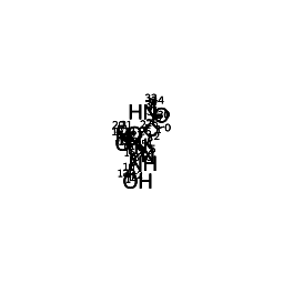 Cc1cc(-c2cnc3c(NCC(C)(C)O)cc(ON4CCCC4=O)nn23)ccc1C(=O)NC1CC1